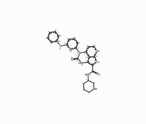 O=C(NC1CCCNC1)c1sc2nccc3c2c1NC(=O)N3c1cccc(Oc2ccccc2)n1